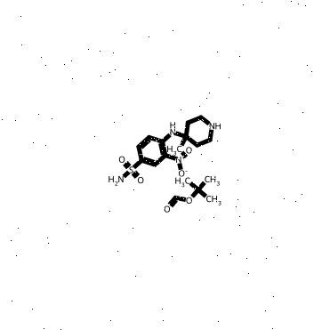 CC(C)(C)OC=O.CC1(Nc2ccc(S(N)(=O)=O)cc2[N+](=O)[O-])CCNCC1